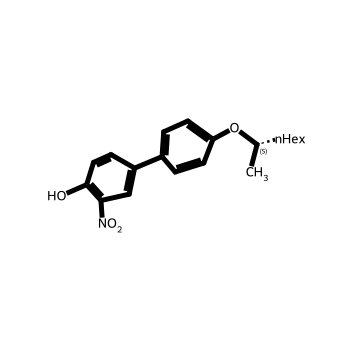 CCCCCC[C@H](C)Oc1ccc(-c2ccc(O)c([N+](=O)[O-])c2)cc1